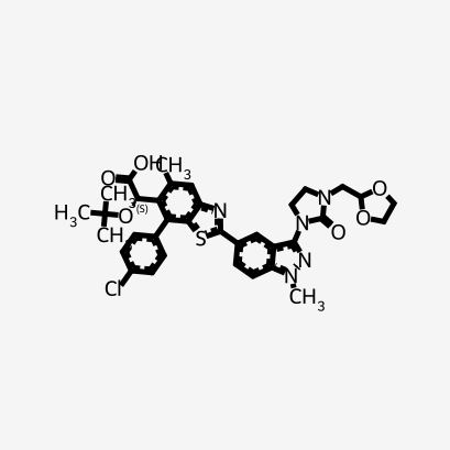 Cc1cc2nc(-c3ccc4c(c3)c(N3CCN(CC5OCCO5)C3=O)nn4C)sc2c(-c2ccc(Cl)cc2)c1[C@H](OC(C)(C)C)C(=O)O